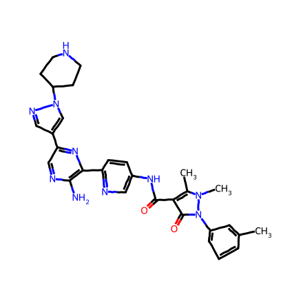 Cc1cccc(-n2c(=O)c(C(=O)Nc3ccc(-c4nc(-c5cnn(C6CCNCC6)c5)cnc4N)nc3)c(C)n2C)c1